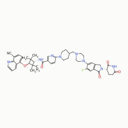 CC1(C)[C@H](NC(=O)c2ccc(N3CCC(CN4CCN(c5cc6c(cc5F)C(=O)N([C@H]5CCC(=O)NC5=O)C6)CC4)CC3)nc2)C(C)(C)[C@H]1Oc1ccc(C#N)c2ncccc12